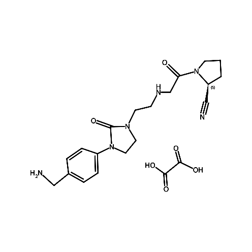 N#C[C@@H]1CCCN1C(=O)CNCCN1CCN(c2ccc(CN)cc2)C1=O.O=C(O)C(=O)O